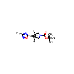 Cc1noc([C@H]2[C@@H]3CN(C(=O)OC(C)(C)C)C[C@@H]32)n1